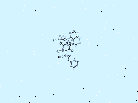 CC(OCc1ccccc1)C(C(=O)NC1CCCc2ccccc21)N(C)C(=O)OC(C)(C)C